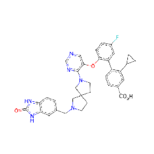 O=C(O)c1ccc(-c2cc(F)ccc2Oc2cncnc2N2CCC3(CCN(Cc4ccc5[nH]c(=O)[nH]c5c4)C3)C2)c(C2CC2)c1